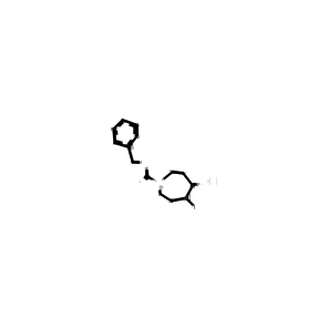 O=C(OCc1ccccc1)N1CCC(O)C(F)CC1